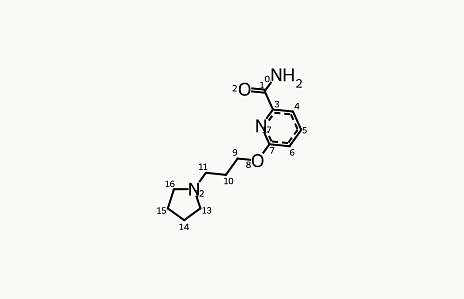 NC(=O)c1cccc(OCCCN2CCCC2)n1